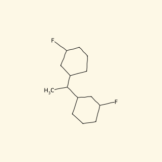 CC(C1CCCC(F)C1)C1CCCC(F)C1